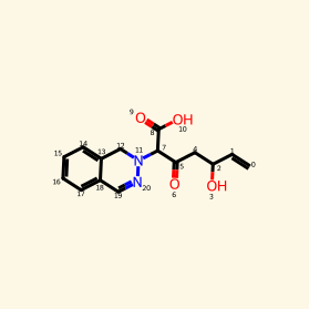 C=CC(O)CC(=O)C(C(=O)O)N1Cc2ccccc2C=N1